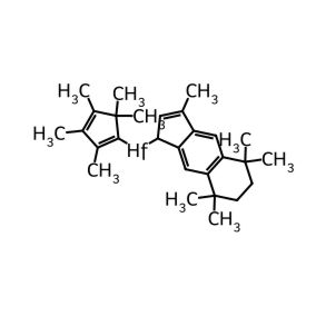 CC1=C[CH]([Hf][C]2=C(C)C(C)=C(C)C2(C)C)c2cc3c(cc21)C(C)(C)CCC3(C)C